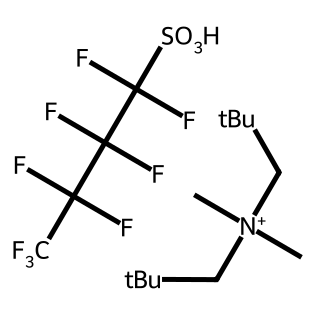 CC(C)(C)C[N+](C)(C)CC(C)(C)C.O=S(=O)(O)C(F)(F)C(F)(F)C(F)(F)C(F)(F)F